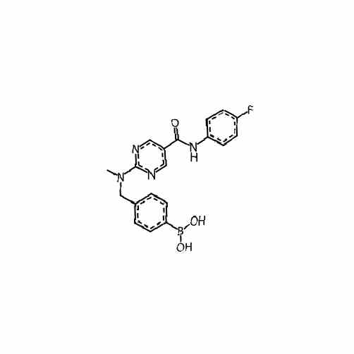 CN(Cc1ccc(B(O)O)cc1)c1ncc(C(=O)Nc2ccc(F)cc2)cn1